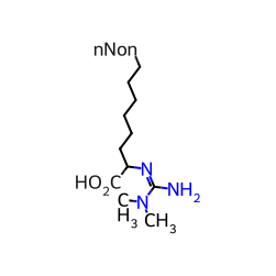 CCCCCCCCCCCCCCCC(N=C(N)N(C)C)C(=O)O